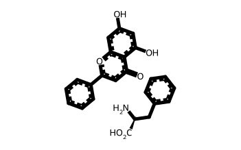 N[C@@H](Cc1ccccc1)C(=O)O.O=c1cc(-c2ccccc2)oc2cc(O)cc(O)c12